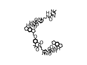 Cc1cnc(C(=O)NCCn2ccc(S(=O)(=O)NC(=O)Nc3c4c(cc5c3CCC5COc3ccc5c(c3)C(=O)N(CCc3cc(S(=O)(=O)NC(=O)Nc6c7c(cc8c6CCC8)CCC7)nn3C)C(=O)C5(C)C)CCC4)n2)cn1